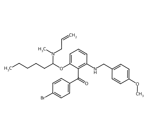 C=CCN(C)C(CCCCC)Oc1cccc(NCc2ccc(OC)cc2)c1C(=O)c1ccc(Br)cc1